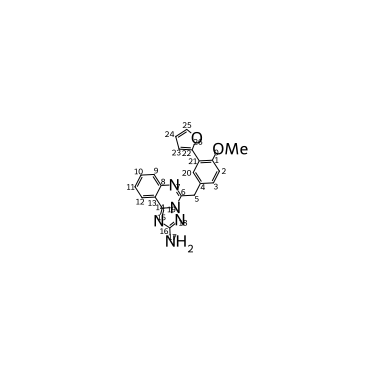 COc1ccc(Cc2nc3ccccc3c3nc(N)nn23)cc1-c1ccco1